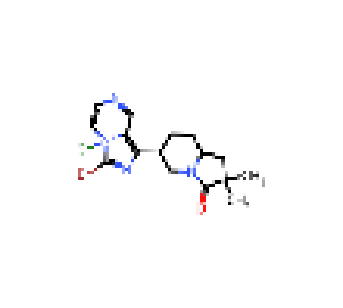 CC1(C)CC2CCC(C3=C4C=NC=C[N+]4(Cl)C(Br)=N3)CN2C1=O